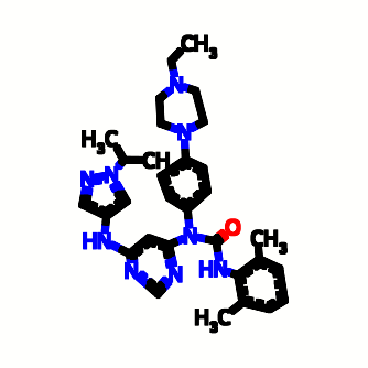 CCN1CCN(c2ccc(N(C(=O)Nc3c(C)cccc3C)c3cc(Nc4cnn(C(C)C)c4)ncn3)cc2)CC1